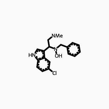 CNCC(c1c[nH]c2ccc(Cl)cc12)N(O)Cc1ccccc1